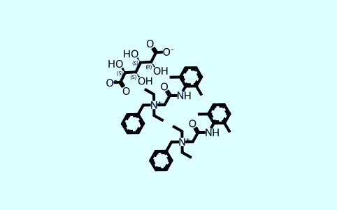 CC[N+](CC)(CC(=O)Nc1c(C)cccc1C)Cc1ccccc1.CC[N+](CC)(CC(=O)Nc1c(C)cccc1C)Cc1ccccc1.O=C([O-])[C@@H](O)[C@@H](O)[C@H](O)[C@@H](O)C(=O)[O-]